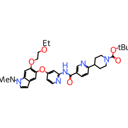 CCOCCOc1cc2c(ccn2NC)cc1Oc1ccnc(NC(=O)c2ccc(C3CCN(C(=O)OC(C)(C)C)CC3)nc2)c1